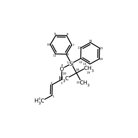 CC=CCO[Si](c1ccccc1)(c1ccccc1)C(C)(C)C